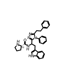 O=C(NC(Cc1c[nH]c2ccccc12)c1nnc(CCc2ccccc2)n1-c1ccccc1)[C@@H]1CCCN1